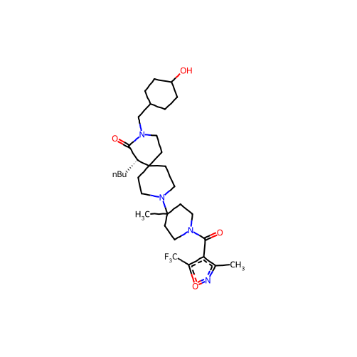 CCCC[C@@H]1C(=O)N(CC2CCC(O)CC2)CCC12CCN(C1(C)CCN(C(=O)c3c(C)noc3C(F)(F)F)CC1)CC2